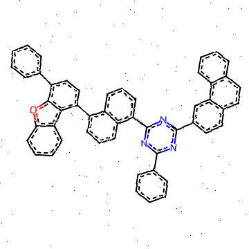 c1ccc(-c2nc(-c3ccc4ccc5ccccc5c4c3)nc(-c3cccc4c(-c5ccc(-c6ccccc6)c6oc7ccccc7c56)cccc34)n2)cc1